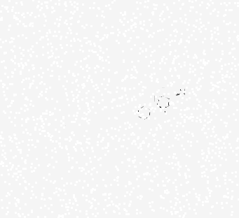 CCCCCCCC[C@H]1CC[C@H](c2ccc(-c3ncc(C#N)c(F)n3)cc2)CC1